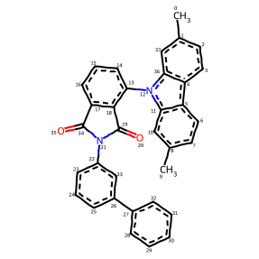 Cc1ccc2c3ccc(C)cc3n(-c3cccc4c3C(=O)N(c3cccc(-c5ccccc5)c3)C4=O)c2c1